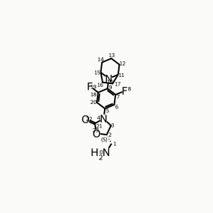 NC[C@H]1CN(c2cc(F)c(N3C4CCCC3CC4)c(F)c2)C(=O)O1